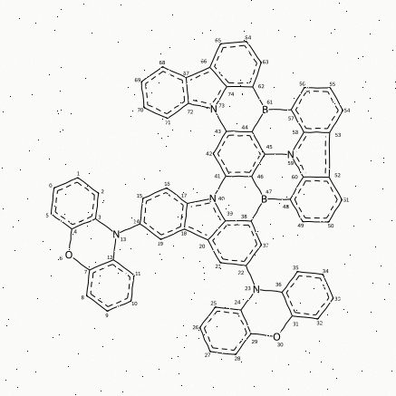 c1ccc2c(c1)Oc1ccccc1N2c1ccc2c(c1)c1cc(N3c4ccccc4Oc4ccccc43)cc3c1n2-c1cc2c4c5c1B3c1cccc3c6cccc(c6n-5c13)B4c1cccc3c4ccccc4n-2c13